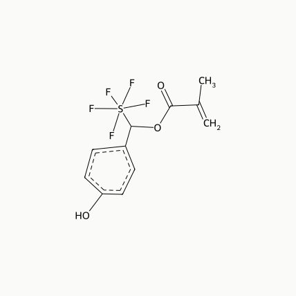 C=C(C)C(=O)OC(c1ccc(O)cc1)S(F)(F)(F)(F)F